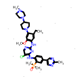 CCc1cc(Nc2ncc(Cl)c(Nc3ccc(-c4cnc(C)nc4)cc3P(C)(C)=O)n2)c(OC)cc1N1CCC(N2CCN(C)CC2)CC1